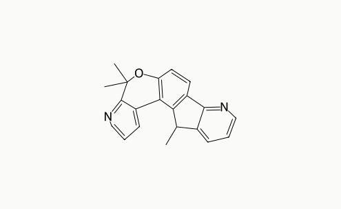 CC1c2cccnc2-c2ccc3c(c21)-c1cccnc1C(C)(C)O3